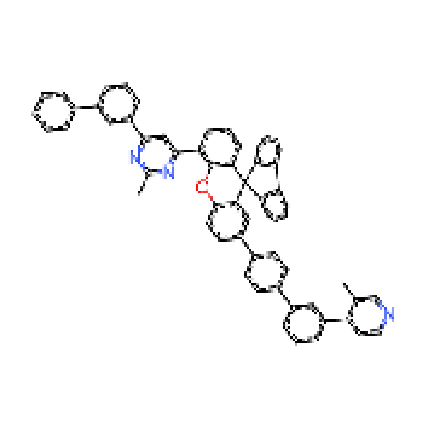 Cc1nc(-c2cccc(-c3ccccc3)c2)cc(-c2cccc3c2Oc2ccc(-c4ccc(-c5cccc(-c6ccncc6C)c5)cc4)cc2C32c3ccccc3-c3ccccc32)n1